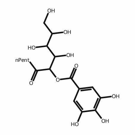 CCCCCC(=O)C(OC(=O)c1cc(O)c(O)c(O)c1)C(O)C(O)C(O)CO